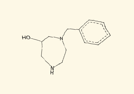 OC1CNCCN(Cc2ccccc2)C1